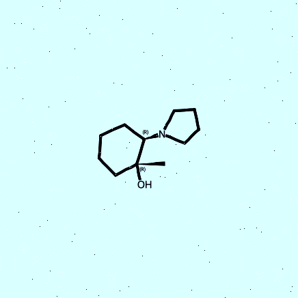 C[C@@]1(O)CCCC[C@H]1N1CCCC1